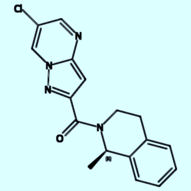 C[C@@H]1c2ccccc2CCN1C(=O)c1cc2ncc(Cl)cn2n1